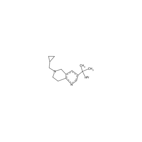 CCCC(C)(C)c1cnc2c(c1)CN(CC1CC1)CC2